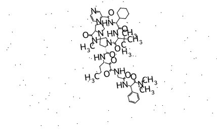 CCCC(NC(=O)[C@@H]1CC2(CN1C(=O)[C@@H](NC(=O)[C@@H](NC(=O)c1cnccn1)C1CCCCC1)C(C)(C)C)N(C)C(=O)C1CCCN12)C(=O)C(=O)NCC(=O)NC(C(=O)N(C)C)c1ccccc1